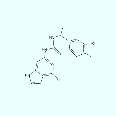 Cc1ccc(C(C)NC(=O)Nc2cc(Cl)c3cc[nH]c3c2)cc1Cl